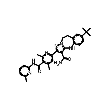 Cc1cccc(NC(=O)c2c(C)cc(-c3nn4c(c3C(N)=O)Nc3ccc(C(C)(C)C)cc3CC4)nc2C)n1